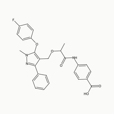 CC(OCc1c(-c2ccccc2)nn(C)c1Oc1ccc(F)cc1)C(=O)Nc1ccc(C(=O)O)cc1